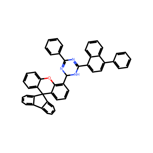 c1ccc(C2=NC(c3cccc4c3Oc3ccccc3C43c4ccccc4-c4ccccc43)NC(c3ccc(-c4ccccc4)c4ccccc34)=N2)cc1